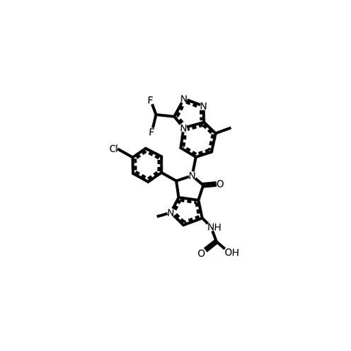 Cc1cc(N2C(=O)c3c(NC(=O)O)cn(C)c3C2c2ccc(Cl)cc2)cn2c(C(F)F)nnc12